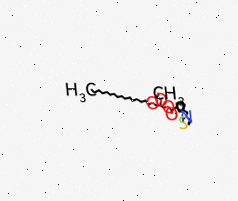 CCCCCCCCCCCCCCCCOCC(COC(=O)c1cccc(CN2C=CSC2)c1)OCC